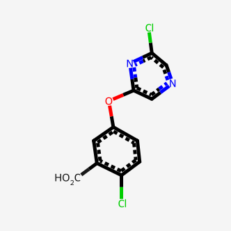 O=C(O)c1cc(Oc2cncc(Cl)n2)ccc1Cl